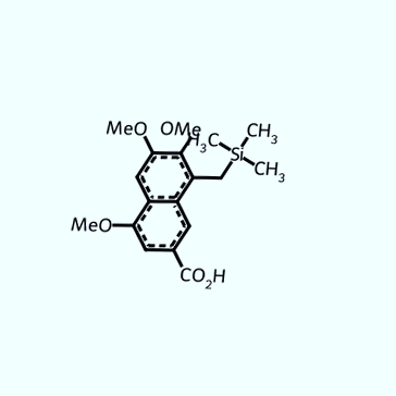 COc1cc2c(OC)cc(C(=O)O)cc2c(C[Si](C)(C)C)c1OC